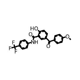 COc1ccc(C(=O)c2ccc(O)c(C(=O)Nc3ccc(C(F)(F)F)cc3)c2)cc1